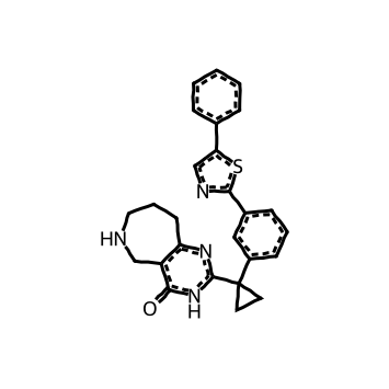 O=c1[nH]c(C2(c3cccc(-c4ncc(-c5ccccc5)s4)c3)CC2)nc2c1CNCCC2